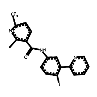 Cc1nc(C(F)(F)F)ccc1C(=O)Nc1ccc(I)c(-c2ccccn2)c1